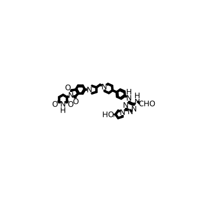 O=CNc1nnc(N2CC[C@@H](O)C2)nc1Nc1ccc(C2CCN(CC3CCN(c4ccc5c(c4)C(=O)N(C4CCC(=O)NC4=O)C5=O)C3)CC2)cc1